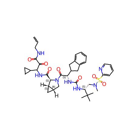 C=CCNC(=O)C(=O)C(NC(=O)[C@@H]1[C@H]2C[C@H]2CN1C(=O)[C@@H](NC(=O)N[C@H](CN(C)S(=O)(=O)c1ccccn1)C(C)(C)C)C1Cc2ccccc2C1)C1CC1